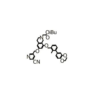 Cc1c(COc2cc(OCc3cncc(C#N)c3)cc3c2CN(CC(=O)OCC(C)C)CC3)cccc1-c1ccc2c(c1)OCCO2